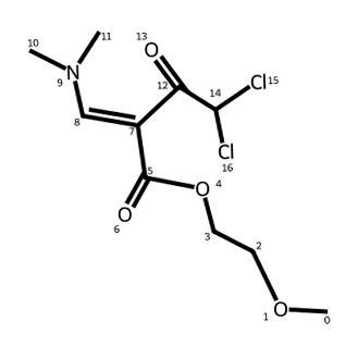 COCCOC(=O)C(=CN(C)C)C(=O)C(Cl)Cl